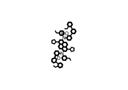 CCc1cccc(N(c2cccc(-c3cccc(-c4ccccc4CC)c3)c2O)c2cc(C3CCCC3)c3ccc4c(N(c5cccc(CC)c5)c5cccc6c5oc5c(-c7ccccc7CC)cccc56)cc(C5CCCC5)c5ccc2c3c54)c1